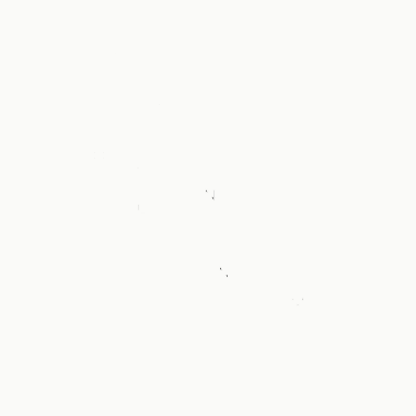 COc1ccccc1N1CCN(C(C)C(C(=O)O)c2ccccc2)CC1